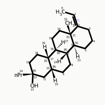 C/C=C1/CCC[C@H]2[C@@H]3CC[C@@H]4C[C@@](O)(CCC)CC[C@@H]4[C@H]3CC[C@]12C